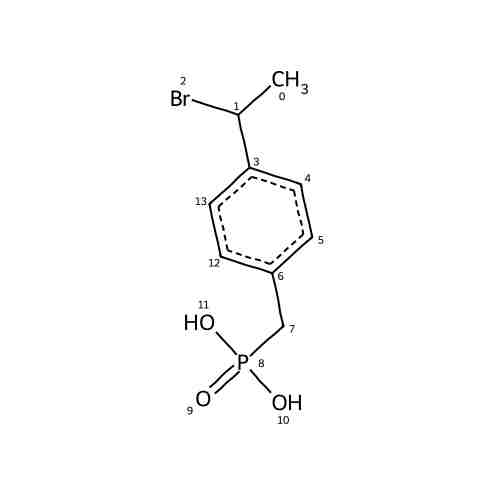 CC(Br)c1ccc(CP(=O)(O)O)cc1